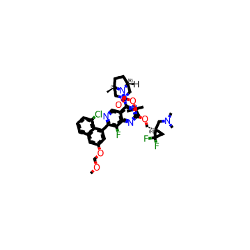 COCOc1cc(-c2ncc3c(N4C[C@H]5CC[C@@](C)(C4)N5C(=O)OC(C)(C)C)nc(OC[C@]4(CN(C)C)CC4(F)F)nc3c2F)c2c(Cl)cccc2c1